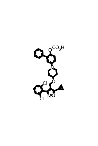 O=C(O)Oc1ccc(N2CCC(OCc3c(-c4c(Cl)cccc4Cl)noc3C3CC3)CC2)cc1-c1ccccc1